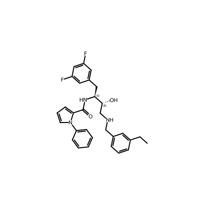 CCc1cccc(CNC[C@@H](O)[C@H](Cc2cc(F)cc(F)c2)NC(=O)c2cccn2-c2ccccc2)c1